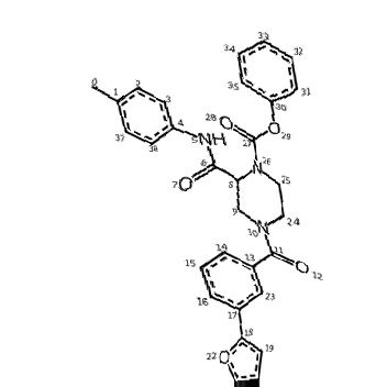 Cc1ccc(NC(=O)C2CN(C(=O)c3cccc(-c4ccco4)c3)CCN2C(=O)Oc2ccccc2)cc1